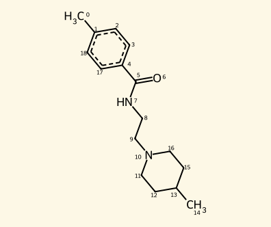 Cc1ccc(C(=O)NCCN2CCC(C)CC2)cc1